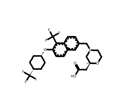 O=C(O)C[C@H]1CN(Cc2ccc3c(C(F)(F)F)c(O[C@H]4CC[C@@H](C(F)(F)F)CC4)ccc3c2)CCO1